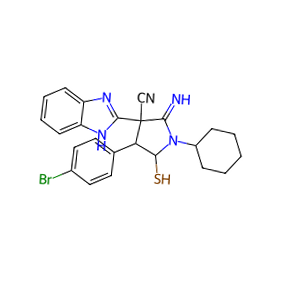 N#CC1(c2nc3ccccc3[nH]2)C(=N)N(C2CCCCC2)C(S)C1c1ccc(Br)cc1